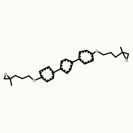 CC1(CCCOc2ccc(-c3ccc(-c4ccc(OCCCC5(C)CO5)cc4)cc3)cc2)CO1